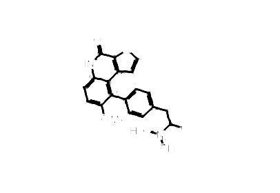 COc1ccc2[nH]c(=O)c3sccc3c2c1-c1ccc(CC(C)N(C)C)cc1